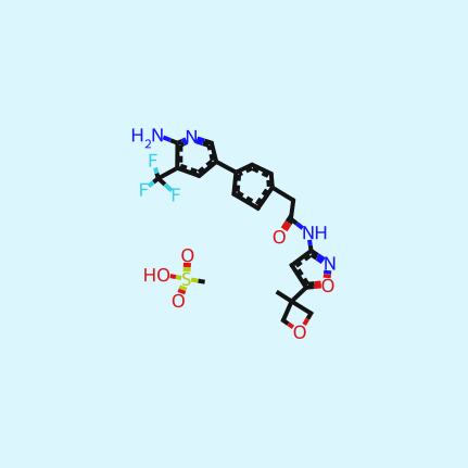 CC1(c2cc(NC(=O)Cc3ccc(-c4cnc(N)c(C(F)(F)F)c4)cc3)no2)COC1.CS(=O)(=O)O